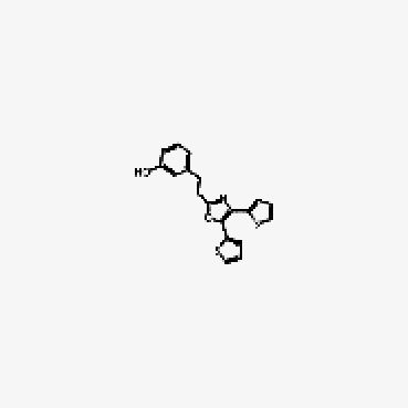 Oc1cccc(CCc2nc(-c3cccs3)c(-c3cccs3)o2)c1